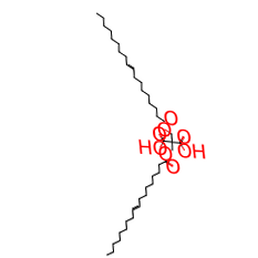 CCCCCCCCC=CCCCCCCCC(=O)OCC(COC(=O)CCCCCCCC=CCCCCCCCC)(C(=O)O)C(=O)O